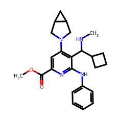 CNC(c1c(N2CC3CC3C2)cc(C(=O)OC)nc1Nc1ccccc1)C1CCC1